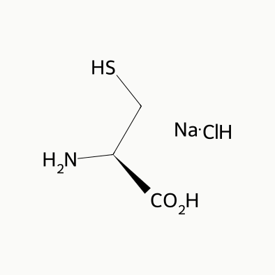 Cl.N[C@@H](CS)C(=O)O.[Na]